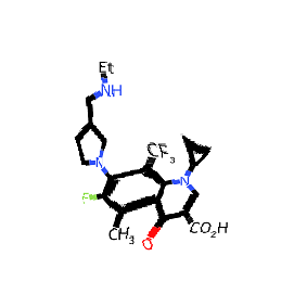 CCNCC1CCN(c2c(F)c(C)c3c(=O)c(C(=O)O)cn(C4CC4)c3c2C(F)(F)F)C1